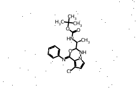 C[C@H](NC(=O)OC(C)(C)C)C1Nn2ccc(Cl)c2/C(=N/c2ccccc2)O1